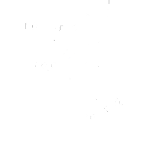 CS(=O)(=O)c1ccc(/C(=C(/CCO)C(=O)O)c2ccc(F)cc2F)cc1